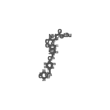 CC(C)(C)OC(=O)CCC(C(N)=O)N1Cc2cc(COc3ccc(CN4CCOCC4)cc3)sc2C1=O